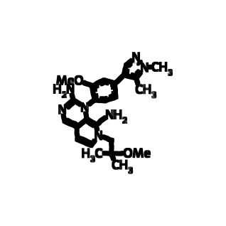 COc1cc(-c2cnn(C)c2C)ccc1N1C(N)=NC=C2C=CN(CC(C)(C)OC)C(N)=C21